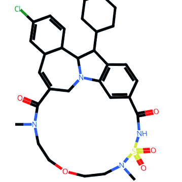 CN1CCOCCN(C)S(=O)(=O)NC(=O)c2ccc3c(c2)N2CC(=CC4C=C(Cl)C=CC4C2C3C2CCCCC2)C1=O